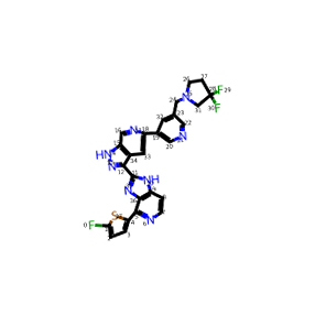 Fc1ccc(-c2nccc3[nH]c(-c4n[nH]c5cnc(-c6cncc(CN7CCC(F)(F)C7)c6)cc45)nc23)s1